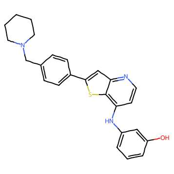 Oc1cccc(Nc2ccnc3cc(-c4ccc(CN5CCCCC5)cc4)sc23)c1